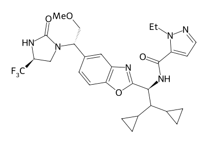 CCn1nccc1C(=O)N[C@H](c1nc2cc([C@@H](COC)N3C[C@@H](C(F)(F)F)NC3=O)ccc2o1)C(C1CC1)C1CC1